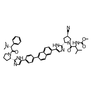 COC(=O)NC(C(=O)N1C[C@H](C#N)C[C@H]1c1ncc(-c2ccc3cc(-c4ccc(-c5cnc([C@@H]6CCCN6C(=O)[C@@H](c6ccccc6)N(C)C)[nH]5)cc4)ccc3c2)[nH]1)C(C)C